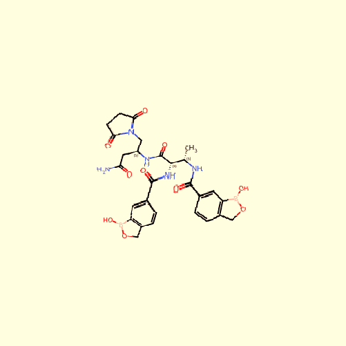 C[C@H](NC(=O)c1ccc2c(c1)B(O)OC2)[C@H](NC(=O)c1ccc2c(c1)B(O)OC2)C(=O)N[C@@H](CC(N)=O)CN1C(=O)CCC1=O